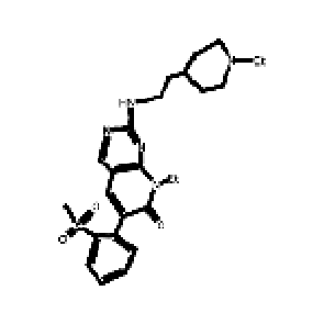 CCN1CCC(CCNc2ncc3cc(-c4ccccc4S(C)(=O)=O)c(=O)n(CC)c3n2)CC1